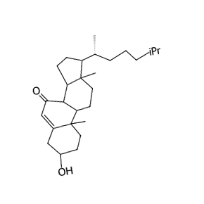 CC(C)CCC[C@@H](C)C1CCC2C3C(=O)C=C4CC(O)CCC4(C)C3CCC21C